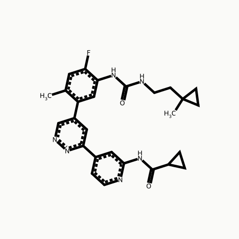 Cc1cc(F)c(NC(=O)NCCC2(C)CC2)cc1-c1cnnc(-c2ccnc(NC(=O)C3CC3)c2)c1